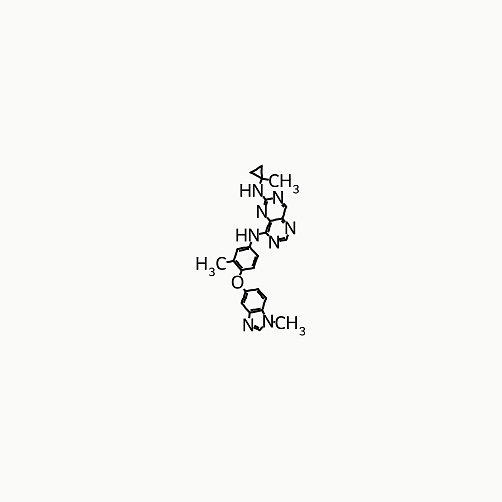 Cc1cc(Nc2ncnc3cnc(NC4(C)CC4)nc23)ccc1Oc1ccc2c(c1)ncn2C